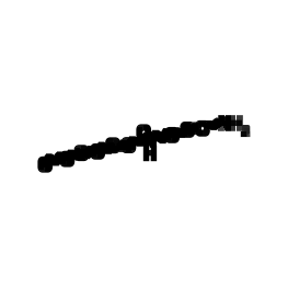 NCCCOCCOCCOCCCNC(=O)CCOCCOCCOCCOCCOCCC=O